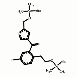 CC(C)(C)[Si](C)(C)OCCc1ccc(Cl)cc1C(=O)c1csc(CO[Si](C)(C)C(C)(C)C)c1